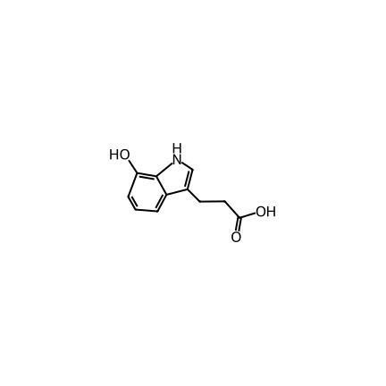 O=C(O)CCc1c[nH]c2c(O)cccc12